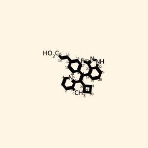 Cc1cccnc1C(=C(c1ccc(C=CC(=O)O)cc1)c1cccc2[nH]nc(F)c12)C1CCC1